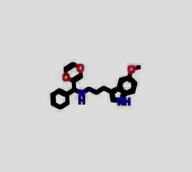 COc1ccc2[nH]cc(CCCNC(C3=CC=CCC3)C3=COC=CO3)c2c1